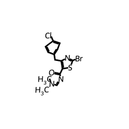 CN(C)/C=N\C(=O)c1sc(Br)nc1Cc1ccc(Cl)cc1